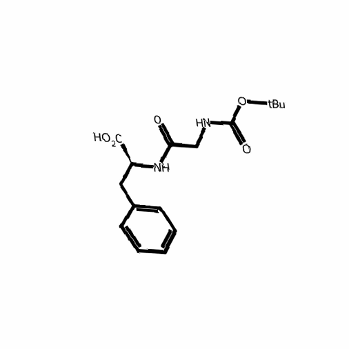 CC(C)(C)OC(=O)NCC(=O)N[C@@H](Cc1ccccc1)C(=O)O